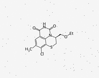 CCOC[C@H]1CSc2c(Cl)c(C)cc3c(=O)[nH]c(=O)n1c23